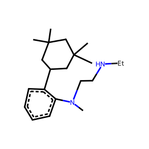 CCNCCN(C)c1ccccc1C1CC(C)(C)CC(C)(C)C1